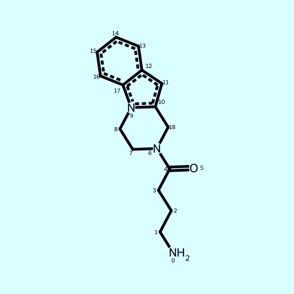 NCCCC(=O)N1CCn2c(cc3ccccc32)C1